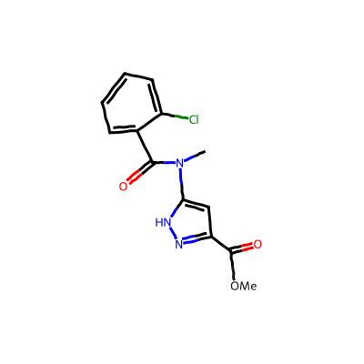 COC(=O)c1cc(N(C)C(=O)c2ccccc2Cl)[nH]n1